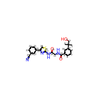 CC(C)(CO)c1cccc(C(=O)NCC(=O)Nc2nc(-c3cccc(C#N)c3)cs2)c1